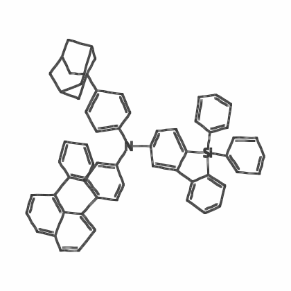 c1ccc(-c2cccc3cccc(-c4ccc(N(c5ccc(C67CC8CC(CC(C8)C6)C7)cc5)c5ccc6c(c5)-c5ccccc5[Si]6(c5ccccc5)c5ccccc5)cc4)c23)cc1